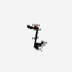 Cc1ncsc1-c1ccc(CNC(=O)[C@@H]2C[C@@H](O)CN2C(=O)C(NCCCOCCOCCC(=O)NCCCCCCN(Cc2cnc3nc(N)nc(N)c3n2)c2ccc(C(=O)N[C@@H](CCC(=O)O)C(=O)O)cc2)C(C)(C)C)cc1